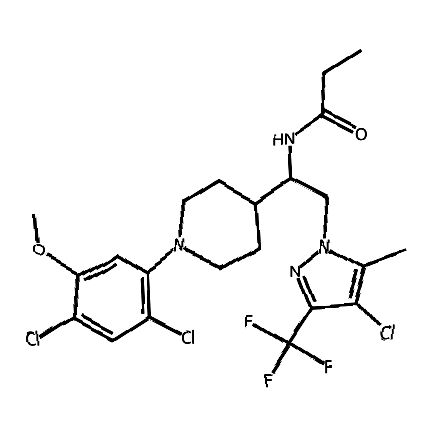 CCC(=O)NC(Cn1nc(C(F)(F)F)c(Cl)c1C)C1CCN(c2cc(OC)c(Cl)cc2Cl)CC1